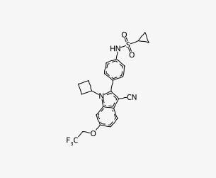 N#Cc1c(-c2ccc(NS(=O)(=O)C3CC3)cc2)n(C2CCC2)c2cc(OCC(F)(F)F)ccc12